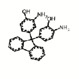 Nc1cc(C2(c3ccc(N)c(O)c3)c3ccccc3-c3ccccc32)ccc1O